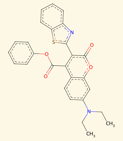 CCN(CC)c1ccc2c(C(=O)Oc3ccccc3)c(-c3nc4ccccc4s3)c(=O)oc2c1